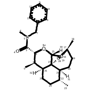 C[C@H]1[C@H](C(=O)N(C)Cc2ccccc2)O[C@@H]2O[C@@]3(C)CC[C@H]4[C@H](C)CC[C@@H]1[C@@]24OO3